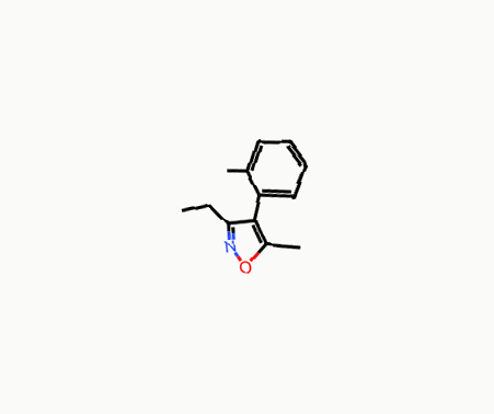 CCc1noc(C)c1-c1ccccc1C